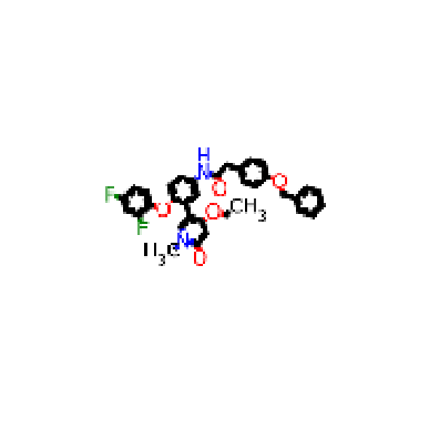 CCOc1cc(=O)n(C)cc1-c1cc(NC(=O)Cc2ccc(OCc3ccccc3)cc2)ccc1Oc1ccc(F)cc1F